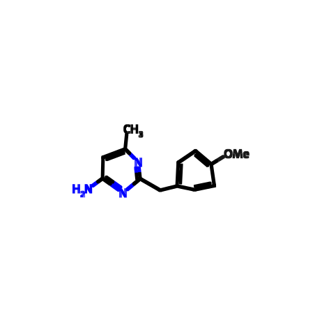 COc1ccc(Cc2nc(C)cc(N)n2)cc1